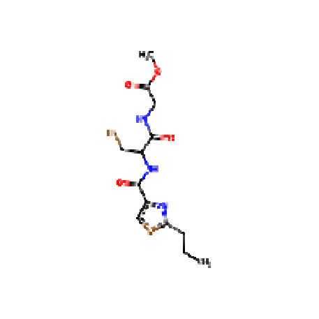 CCCc1nc(C(=O)NC(CS)C(=O)NCC(=O)OC)cs1